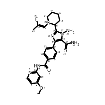 COc1ccnc(NC(=O)c2ccc(-c3nc(C4CCCCN4C=C(C)F)n(N)c3C(N)=O)cc2)c1